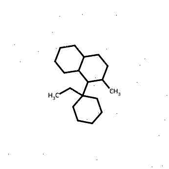 CCC1(C2C(C)CCC3CCCCC32)CCCCC1